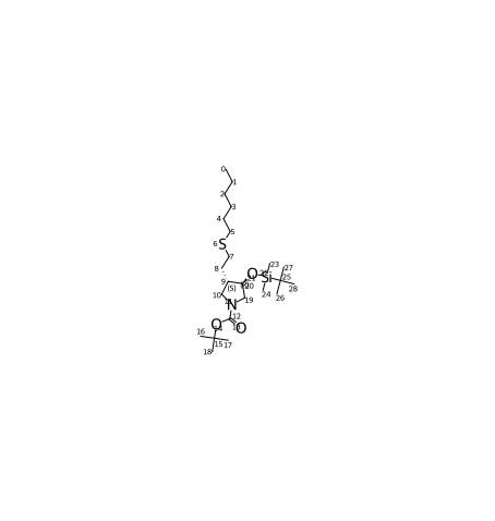 CCCCCCSCC[C@H]1CN(C(=O)OC(C)(C)C)C[C@@H]1O[Si](C)(C)C(C)(C)C